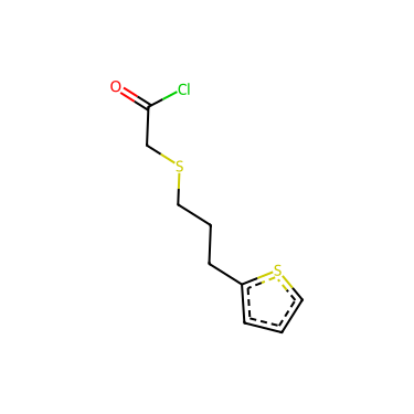 O=C(Cl)CSCCCc1cccs1